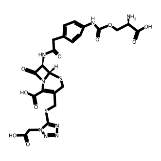 N[C@H](COC(=O)Nc1ccc(CC(=O)N[C@@H]2C(=O)N3C(C(=O)O)=C(CSc4nnnn4CC(=O)O)CS[C@@H]23)cc1)C(=O)O